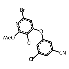 COc1nc(Br)cc(Oc2cc(Cl)cc(C#N)c2)c1Cl